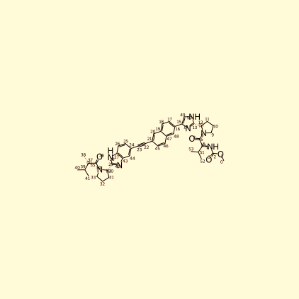 COC(=O)N[C@H](C(=O)N1CCC[C@H]1c1nc(-c2ccc3cc(C#Cc4ccc5[nH]c([C@@H]6CCCN6C(=O)[C@@H](C)C(C)C)nc5c4)ccc3c2)c[nH]1)C(C)C